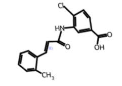 Cc1ccccc1/C=C/C(=O)Nc1cc(C(=O)O)ccc1Cl